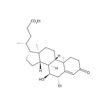 CCOC(=O)CC[C@@H](C)[C@H]1CC[C@H]2[C@@H]3[C@H](O)[C@@H](CC)C4=CC(=O)CC[C@]4(C)[C@H]3CC[C@]12C